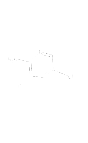 [CH2]c1ncc(Cl)cc1F